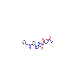 O=C(C1CC1)N1CCC(O)(Cn2cnc3c(cnn3-c3cccc(NCCc4ccccc4)c3)c2=O)CC1